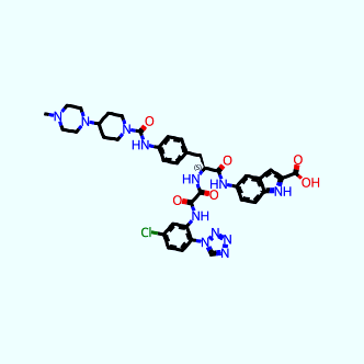 CN1CCN(C2CCN(C(=O)Nc3ccc(C[C@H](NC(=O)C(=O)Nc4cc(Cl)ccc4-n4cnnn4)C(=O)Nc4ccc5[nH]c(C(=O)O)cc5c4)cc3)CC2)CC1